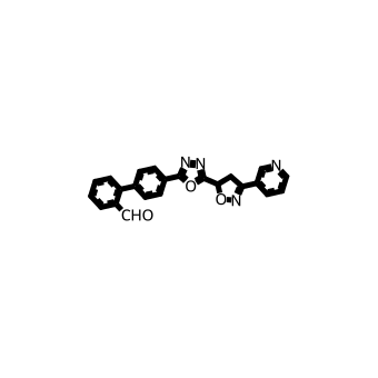 O=Cc1ccccc1-c1ccc(-c2nnc(C3CC(c4cccnc4)=NO3)o2)cc1